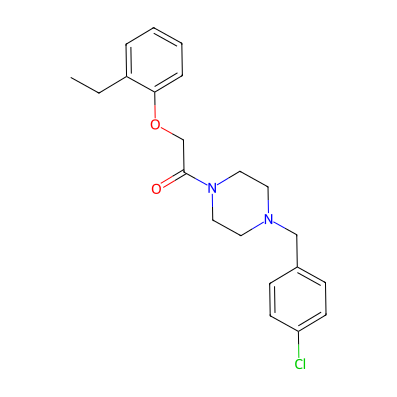 CCc1ccccc1OCC(=O)N1CCN(Cc2ccc(Cl)cc2)CC1